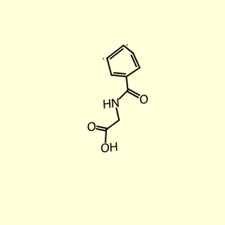 O=C(O)CNC(=O)c1c[c][c]cc1